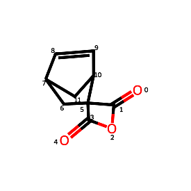 O=C1OC(=O)C12CC1C=CC2C1